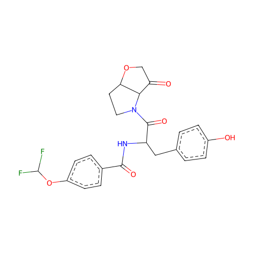 O=C(NC(Cc1ccc(O)cc1)C(=O)N1CCC2OCC(=O)C21)c1ccc(OC(F)F)cc1